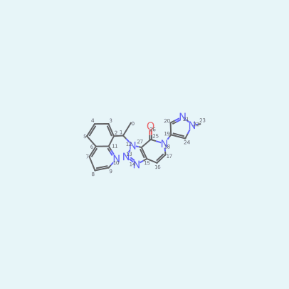 CC(c1cccc2cccnc12)n1nnc2ccn(-c3cnn(C)c3)c(=O)c21